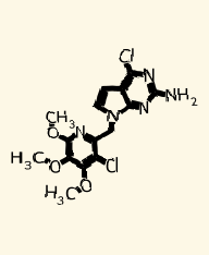 COc1nc(Cn2ccc3c(Cl)nc(N)nc32)c(Cl)c(OC)c1OC